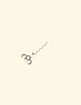 O=C(O)CCCCCCCCC(=O)Nc1cc2cccnc2c2ncccc12